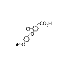 CC(C)Oc1ccc(COc2ccc(CC(=O)O)cc2Cl)cc1